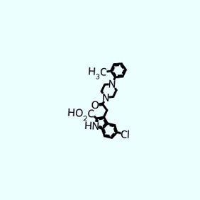 Cc1ccccc1N1CCN(C(=O)Cc2c(C(=O)O)[nH]c3ccc(Cl)cc23)CC1